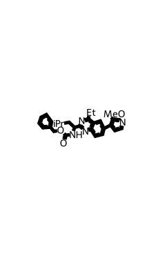 CCc1nc(C(CC(C)C)NC(=O)OCc2ccccc2)nc2ccc(-c3ccncc3OC)cc12